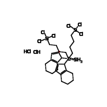 Cl.Cl.[SiH2]=[Zr]([CH2]CCC[Si](Cl)(Cl)Cl)([CH2]CCC[Si](Cl)(Cl)Cl)([CH]1C=CC2=C1CCCC2)[CH]1C=CC2=C1CCCC2